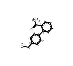 NC(=S)c1ccccc1-c1ccc(CCl)cc1